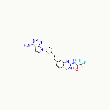 Nc1ncnc2c1ccn2C1CCC(CCc2ccc3c(c2)N=C(NC(=O)C(F)(F)F)NC3)C1